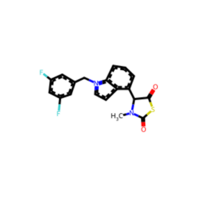 CN1C(=O)SC(=O)C1c1cccc2c1ccn2Cc1cc(F)cc(F)c1